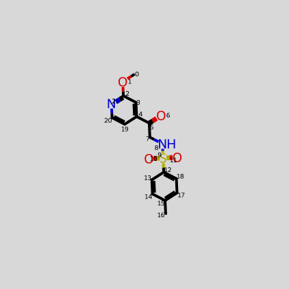 COc1cc(C(=O)CNS(=O)(=O)c2ccc(C)cc2)ccn1